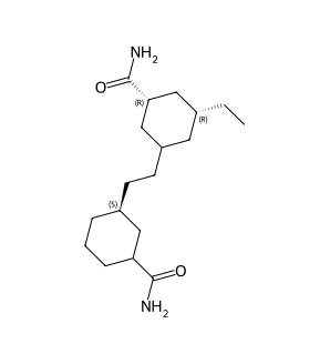 CC[C@@H]1CC(CC[C@@H]2CCCC(C(N)=O)C2)C[C@H](C(N)=O)C1